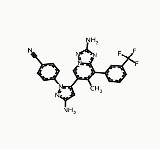 Cc1c(-c2cc(N)nn2-c2ccc(C#N)cc2)cn2nc(N)nc2c1-c1cccc(C(F)(F)F)c1